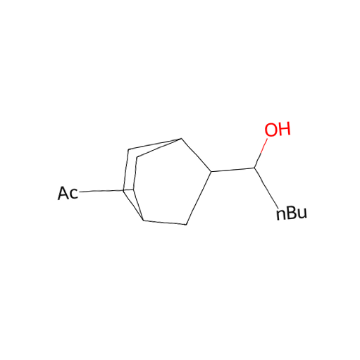 CCCCC(O)C1CC2CCC1CC2C(C)=O